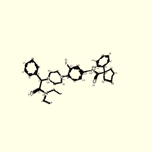 CCN(CC)C(=O)C(c1ccccc1)N1CCN(c2ccc(NC(=O)C3(c4ccccc4)CCCC3)cc2F)CC1